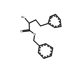 CC(=O)C(CCc1ccccc1)C(=O)OCc1ccccc1